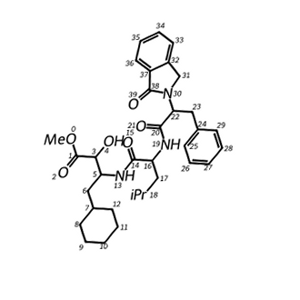 COC(=O)C(O)C(CC1CCCCC1)NC(=O)C(CC(C)C)NC(=O)C(Cc1ccccc1)N1Cc2ccccc2C1=O